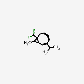 CC(C)/C1=C/C2C(C)C2(C(F)F)CC=C=C1